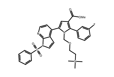 COC(=O)c1cc(-c2ccnc3c2ccn3S(=O)(=O)c2ccccc2)n(COCC[Si](C)(C)C)c1-c1cccc(F)c1